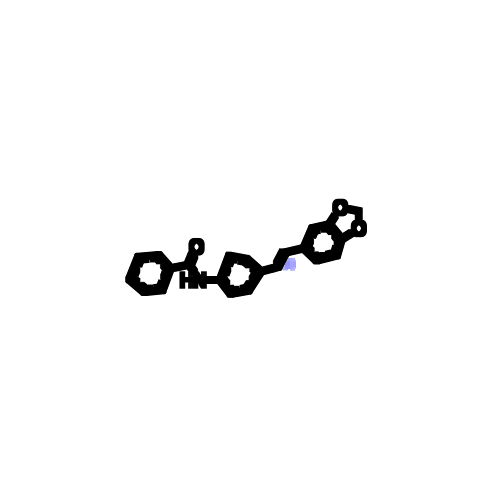 O=C(Nc1ccc(/C=C/c2ccc3c(c2)OCO3)cc1)c1ccccc1